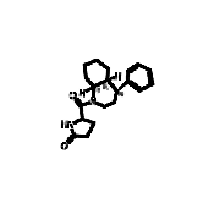 O=C1CCC(C(=O)N2CC[C@H](c3ccccc3)[C@H]3CCCC[C@H]32)N1